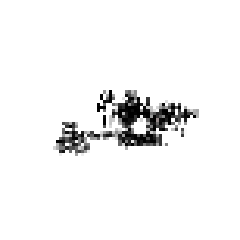 CC[C@H]1OC(=O)[C@H](C)[C@H](O[C@H]2C[C@@](C)(OC)[C@@H](O)[C@H](C)O2)[C@@H](C)[C@@H](O[C@@H]2O[C@H](C)C[C@H](N(C)C)[C@H]2O)[C@](C)(O)C[C@@H](C)CN(C(=O)CCCCCCCCCCC[P+](c2ccccc2)(c2ccccc2)C2CCC(F)(F)CC2)[C@H](C)[C@@H](O)[C@@]1(C)O.[Cl-]